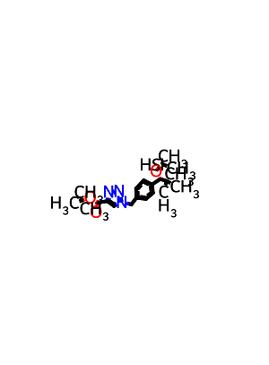 C[SiH](C)OC(c1ccc(Cn2cc(C(=O)OC(C)(C)C)nn2)cc1)C(C)(C)C